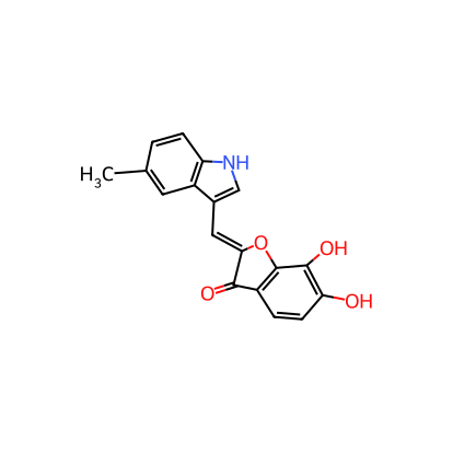 Cc1ccc2[nH]cc(C=C3Oc4c(ccc(O)c4O)C3=O)c2c1